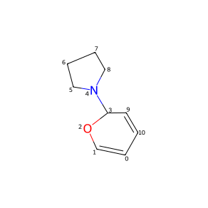 C1=COC(N2CCCC2)C=C1